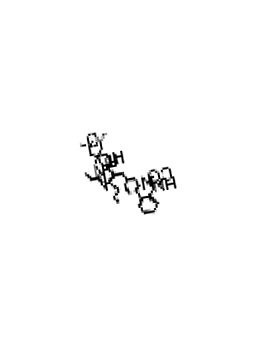 CCCc1nc(CC)n(C[C@@]2(O)C[C@@H](C)O[C@@H](C)C2)c(=O)c1Cc1ccc(-c2ccccc2-c2noc(=O)[nH]2)cc1